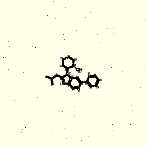 CC(C)Cc1nc2cnc(-c3ccccn3)cc2n1C1CCCC[C@@H]1O